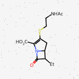 CCC1C(=O)N2C(C(=O)O)=C(SCCNC(C)=O)CC12